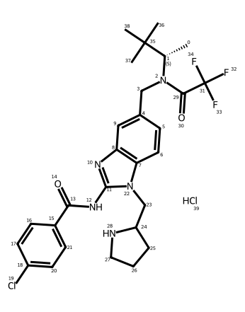 C[C@H](N(Cc1ccc2c(c1)nc(NC(=O)c1ccc(Cl)cc1)n2CC1CCCN1)C(=O)C(F)(F)F)C(C)(C)C.Cl